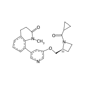 CN1C(=O)CCc2cccc(-c3cncc(OC[C@@H]4CCN4C(=O)C4CC4)c3)c21